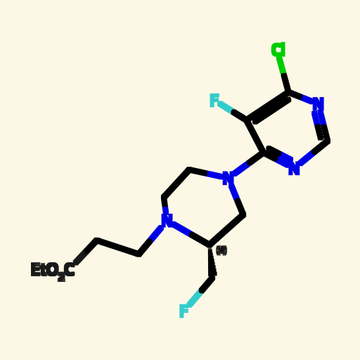 CCOC(=O)CCN1CCN(c2ncnc(Cl)c2F)C[C@@H]1CF